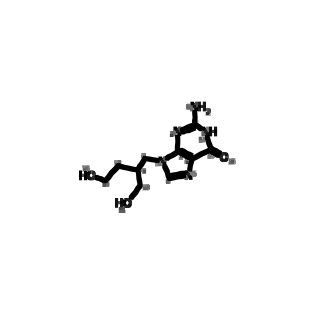 Nc1nc2c(ncn2CC(CO)CCO)c(=O)[nH]1